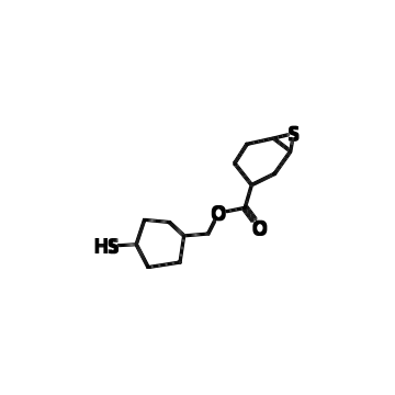 O=C(OCC1CCC(S)CC1)C1CCC2SC2C1